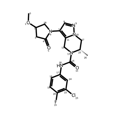 COC1CC(=O)N(c2cnn3c2CN(C(=O)Nc2ccc(F)c(Cl)c2)[C@@H](C)C3)C1